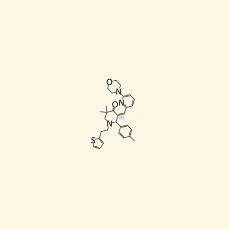 Cc1ccc(C2/C(=C/c3cccc(N4CCOCC4)n3)C(=O)C(C)(C)CN2CCc2cccs2)cc1